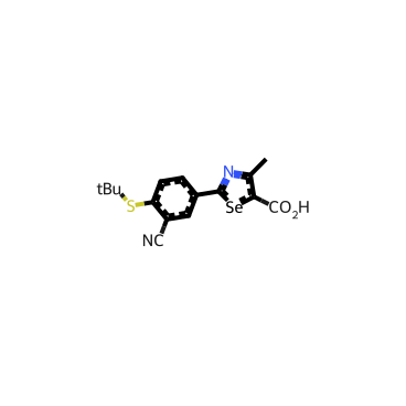 Cc1nc(-c2ccc(SC(C)(C)C)c(C#N)c2)[se]c1C(=O)O